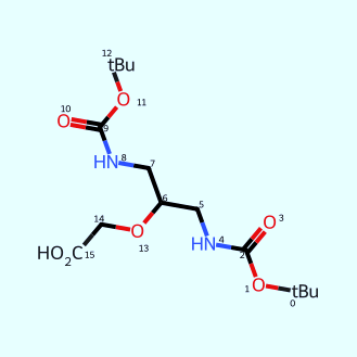 CC(C)(C)OC(=O)NCC(CNC(=O)OC(C)(C)C)OCC(=O)O